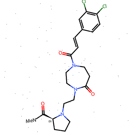 CNC(=O)[C@@H]1CCCN1CCN1CCN(C(=O)C=Cc2ccc(Cl)c(Cl)c2)CCC1=O